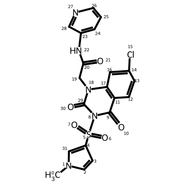 Cn1ccc(S(=O)(=O)n2c(=O)c3ccc(Cl)cc3n(CC(=O)Nc3cccnc3)c2=O)c1